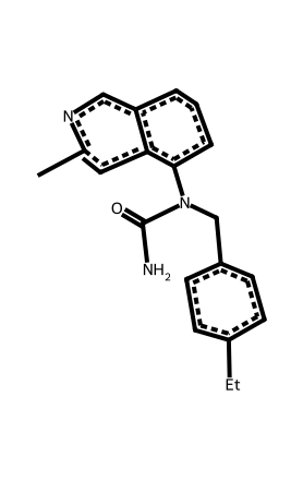 CCc1ccc(CN(C(N)=O)c2cccc3cnc(C)cc23)cc1